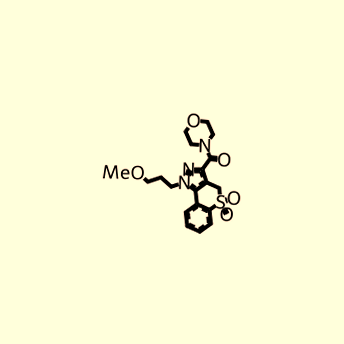 COCCCn1nc(C(=O)N2CCOCC2)c2c1-c1ccccc1S(=O)(=O)C2